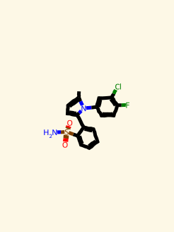 Cc1ccc(-c2ccccc2S(N)(=O)=O)n1-c1ccc(F)c(Cl)c1